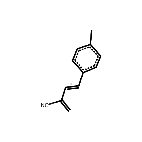 C=C(C#N)/C=C/c1ccc(C)cc1